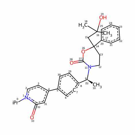 CC(C)n1ccc(-c2ccc([C@H](C)N3CCC(CC(C)(C)O)(c4ccccc4)OC3=O)cc2)cc1=O